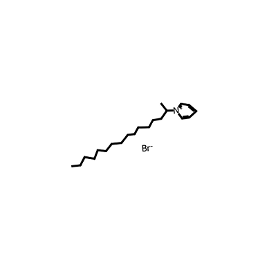 CCCCCCCCCCCCCCC(C)[n+]1ccccc1.[Br-]